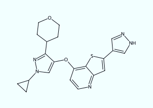 c1cc(Oc2cn(C3CC3)nc2C2CCOCC2)c2sc(-c3cn[nH]c3)cc2n1